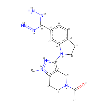 CC(=O)N1CCc2c(c(N3CCc4ccc(/C(N=N)=N/N)cc43)nn2C)C1